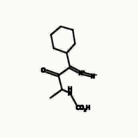 CC(NC(=O)O)C(=O)C(=[N+]=[N-])C1CCCCC1